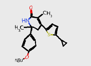 CCCCOc1ccc(C2(C)CC(c3ccc(C4CC4)s3)=C(C)C(=O)N2)cc1